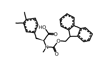 Cc1ccc(C[C@@H](C(=O)O)N(C)C(=O)OCC2c3ccccc3-c3ccccc32)cc1C